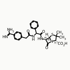 CC1(C)S[C@@H]2[C@H](NC(=O)C(NC(=O)Cc3ccc(C(=N)N)cc3)c3ccccc3)C(=O)N2[C@H]1C(=O)O